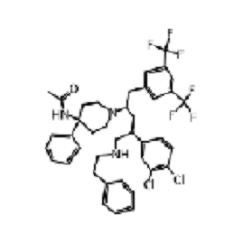 CC(=O)NC1(c2ccccc2)CCN(C(Cc2cc(C(F)(F)F)cc(C(F)(F)F)c2)CC(CNCCc2ccccc2)c2ccc(Cl)c(Cl)c2)CC1